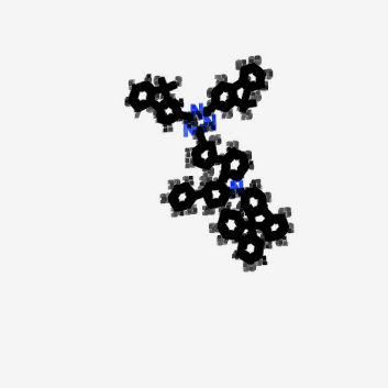 CC1(C)c2ccccc2-c2ccc(-c3nc(-c4cccc(-c5cccc6c5c5cc(-c7ccccc7)ccc5n6-c5ccc6c(c5)C(c5ccccc5)(c5ccccc5)c5ccccc5-6)c4)nc(-c4ccc5c(c4)C(C)(C)c4ccccc4-5)n3)cc21